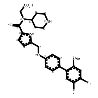 CSc1cc(F)c(F)cc1-c1ccc(OCc2ccc(C(=O)N(CC(=O)O)C3CCNCC3)o2)cc1